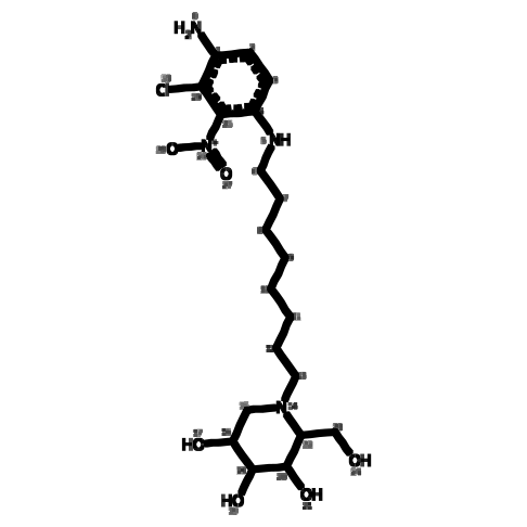 Nc1ccc(NCCCCCCCCN2CC(O)C(O)C(O)C2CO)c([N+](=O)[O-])c1Cl